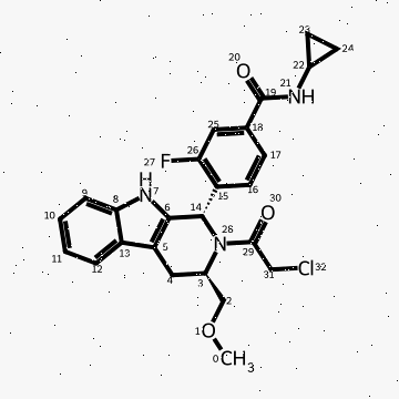 COC[C@H]1Cc2c([nH]c3ccccc23)[C@H](c2ccc(C(=O)NC3CC3)cc2F)N1C(=O)CCl